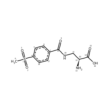 CS(=O)(=O)c1ccc(C(=O)NC[C@H](N)C(=O)O)cc1